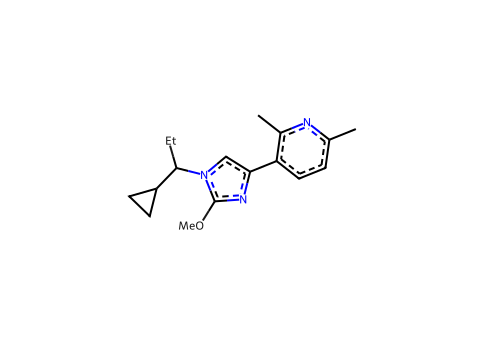 CCC(C1CC1)n1cc(-c2ccc(C)nc2C)nc1OC